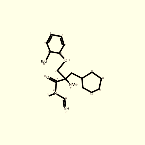 CNC(COC1C=CC=CC1C(C)(C)C)(CC1CCCCC1)C(=O)N(C)C=N